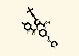 CC1=CCC(C(=O)N(c2cc(C#CC(C)(C)C)sc2C(=O)O)[C@H]2CC[C@H](CO[C@H]3CCOC3)CC2)[C@H](C)C1